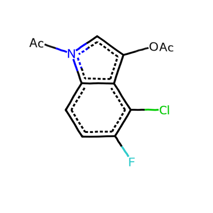 CC(=O)Oc1cn(C(C)=O)c2ccc(F)c(Cl)c12